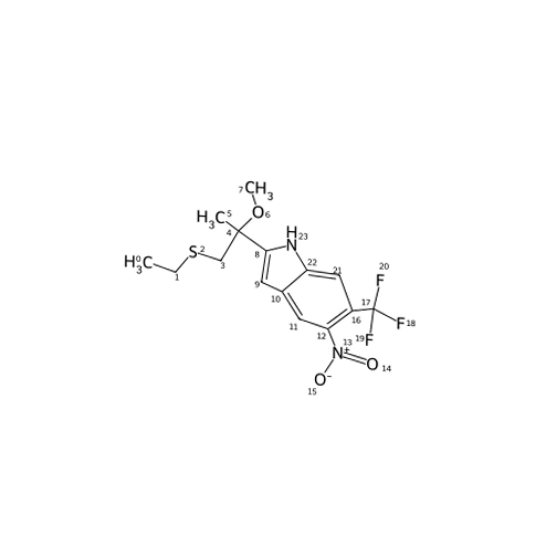 CCSCC(C)(OC)c1cc2cc([N+](=O)[O-])c(C(F)(F)F)cc2[nH]1